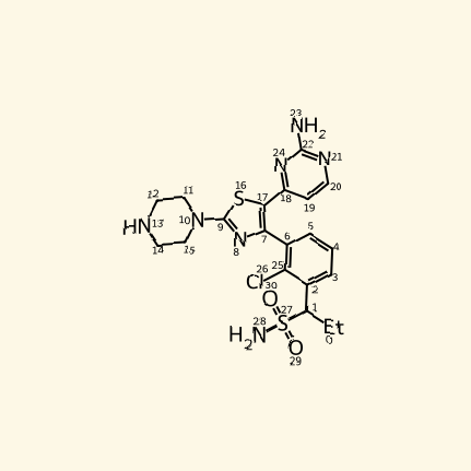 CCC(c1cccc(-c2nc(N3CCNCC3)sc2-c2ccnc(N)n2)c1Cl)S(N)(=O)=O